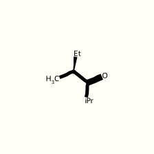 CC[C@H](C)C(=O)C(C)C